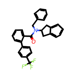 O=C(c1ccccc1-c1ccc(C(F)(F)F)cc1)N(Cc1ccccc1)C1Cc2ccccc2C1